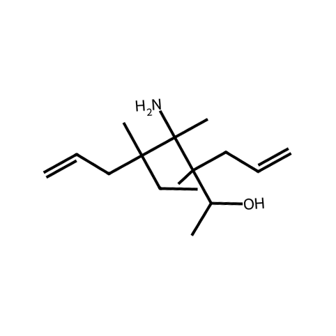 C=CCC(C)(CC)C(C)(N)C(C)(CC=C)C(C)O